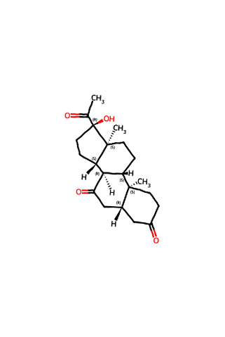 CC(=O)[C@@]1(O)CC[C@H]2[C@@H]3C(=O)C[C@H]4CC(=O)CC[C@]4(C)[C@H]3CC[C@@]21C